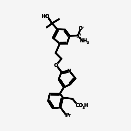 CC(C)c1cccc(-c2ccnc(OCCc3cc([S+](N)[O-])cc(C(C)(C)O)c3)c2)c1CC(=O)O